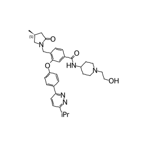 CC(C)c1ccc(-c2ccc(Oc3cc(C(=O)NC4CCN(CCO)CC4)ccc3CN3C[C@@H](C)CC3=O)cc2)nn1